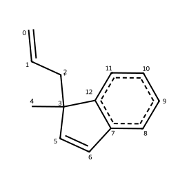 C=C[CH]C1(C)C=Cc2ccccc21